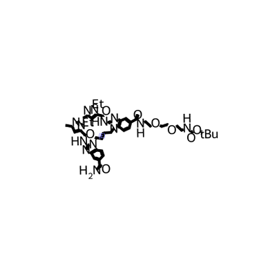 CCn1nc(C)cc1C(=O)Nc1nc2cc(C(N)=O)ccc2n1C/C=C/Cn1c(NC(=O)c2cc(C)nn2CC)nc2cc(C(=O)NCCOCCOCCNC(=O)OC(C)(C)C)ccc21